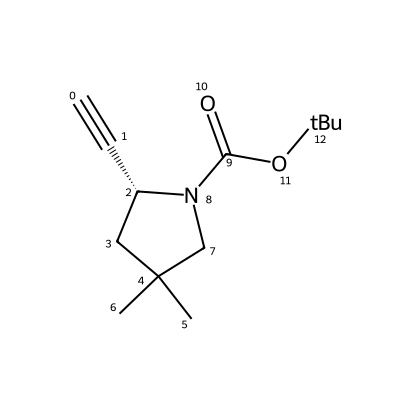 C#C[C@H]1CC(C)(C)CN1C(=O)OC(C)(C)C